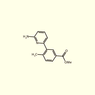 COC(=O)c1ccc(C)c(-c2cccc(N)n2)c1